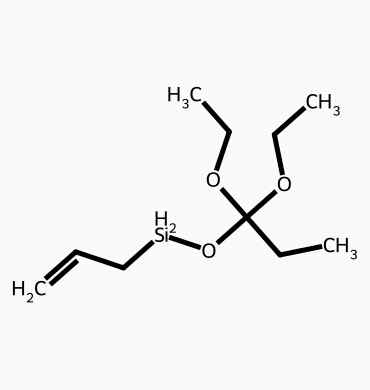 C=CC[SiH2]OC(CC)(OCC)OCC